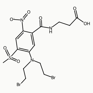 CS(=O)(=O)c1cc([N+](=O)[O-])c(C(=O)NCCC(=O)O)cc1N(CCBr)CCBr